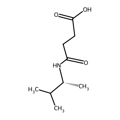 CC(C)[C@@H](C)NC(=O)CCC(=O)O